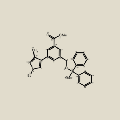 CCn1cc(-c2cc(CO[Si](c3ccccc3)(c3ccccc3)C(C)(C)C)cc(C(=O)OC)c2)c(C)n1